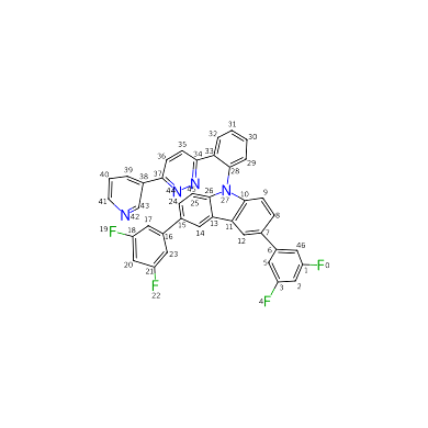 Fc1cc(F)cc(-c2ccc3c(c2)c2cc(-c4cc(F)cc(F)c4)ccc2n3-c2ccccc2-c2ccc(-c3cccnc3)nn2)c1